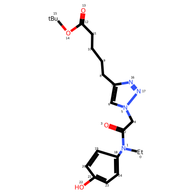 CCN(C(=O)Cn1cc(CCCCC(=O)OC(C)(C)C)nn1)c1ccc(O)cc1